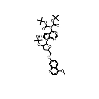 COc1ccnc2cc(OCC3CC(OC(C)(C)O)C(n4ccc5c(N(C(=O)OC(C)(C)C)C(=O)OC(C)(C)C)ncnc54)O3)ccc12